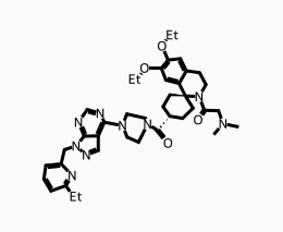 CCOc1cc2c(cc1OCC)[C@]1(CC[C@@H](C(=O)N3CCN(c4ncnc5c4cnn5Cc4cccc(CC)n4)CC3)CC1)N(C(=O)CN(C)C)CC2